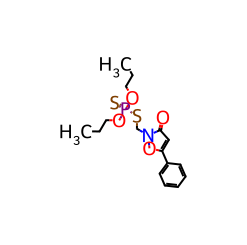 CCCOP(=S)(OCCC)SCn1oc(-c2ccccc2)cc1=O